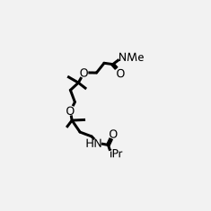 CNC(=O)CCOC(C)(C)CCOC(C)(C)CCNC(=O)C(C)C